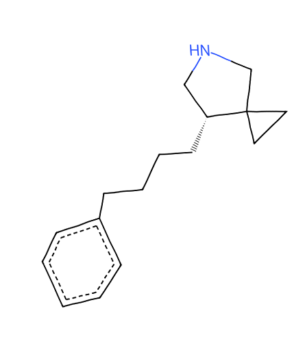 c1ccc(CCCC[C@@H]2CNCC23CC3)cc1